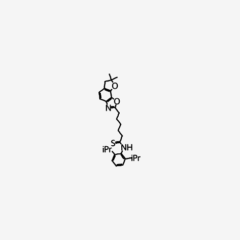 CC(C)c1cccc(C(C)C)c1NC(=S)CCCCCc1nc2ccc3c(c2o1)OC(C)(C)C3